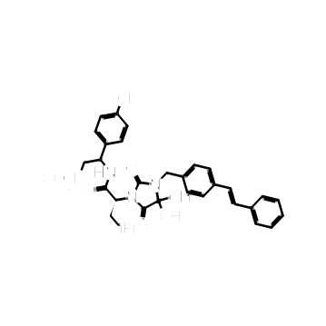 CC(C)C[C@@H](C(=O)NC(CC(=O)O)c1ccc(Cl)cc1)N1C(=O)N(Cc2ccc(C=Cc3ccccc3)cc2)C(C)(C)C1=O